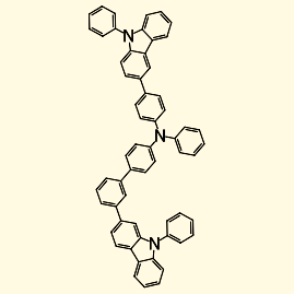 c1ccc(N(c2ccc(-c3cccc(-c4ccc5c6ccccc6n(-c6ccccc6)c5c4)c3)cc2)c2ccc(-c3ccc4c(c3)c3ccccc3n4-c3ccccc3)cc2)cc1